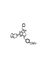 COc1ccc(CN2CCC3NN(Cc4ccccc4)c4nc(N5CCN6CCCC6C5)nc2c43)cc1